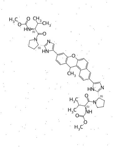 COC(=O)N[C@H](C(=O)N1CCC[C@H]1c1ncc(-c2ccc3c(c2)Oc2ccc4cc(-c5cnc([C@@H]6CCCN6C(=O)[C@@H](NC(=O)OC)C(C)C)[nH]5)ccc4c2C3C)[nH]1)C(C)C